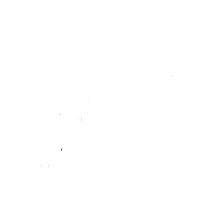 CCCCOC(=O)CN(CC(=O)O)CC(=O)OCC1CCCCC1